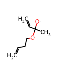 C=CCCOC(C)([O])C=C